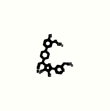 COc1cc(N2CCN(C(C=O)n3nc(-c4ccnc(CN)c4)c(Cl)c3C)CC2)ccc1Cl